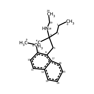 CCCC(C)(Cc1c(OC)ccc2ccccc12)NCC